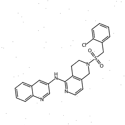 O=S(=O)(Cc1ccccc1Cl)N1CCc2c(ccnc2Nc2cnc3ccccc3c2)C1